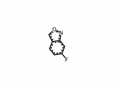 Fc1ccc2conc2c1